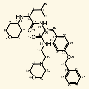 CC(C)C[C@H](NC1CCOCC1)C(=O)N[C@@H](Cc1ccc(OCc2ccccc2)cc1)C(=O)NCCN1CCOCC1